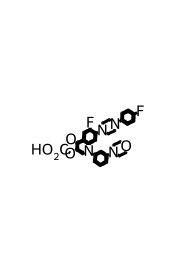 O=C(O)Oc1cn(-c2cccc(N3CCOCC3)c2)c2cc(N3CCN(c4ccc(F)cc4)CC3)c(F)cc2c1=O